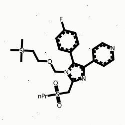 CCCS(=O)(=O)Cc1nc(-c2ccncc2)c(-c2ccc(F)cc2)n1COCC[Si](C)(C)C